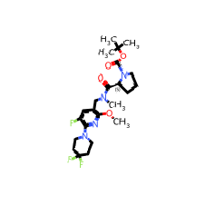 COc1nc(N2CCC(F)(F)CC2)c(F)cc1CN(C)C(=O)[C@@H]1CCCN1C(=O)OC(C)(C)C